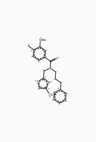 COc1cc(C(=O)N(CCCc2ccccc2)Cc2nc(C(=O)O)cs2)ccc1C